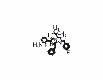 CC(C)(C)CC(=O)/C(=C/c1ccc(F)cc1)Nc1ncc(-c2cccc(N)c2F)nc1Cc1ccccc1